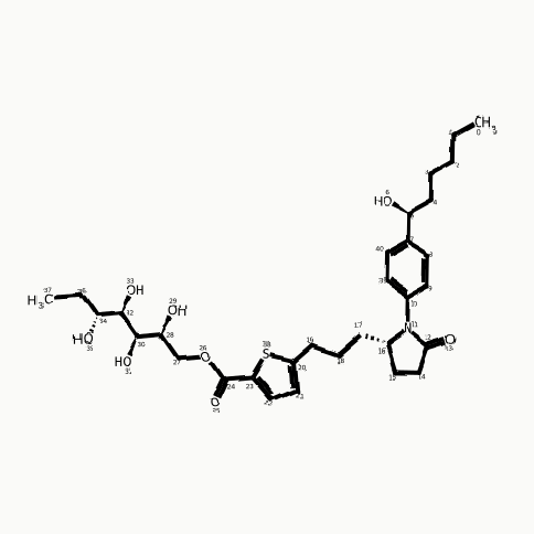 CCCCC[C@H](O)c1ccc(N2C(=O)CC[C@@H]2CCCc2ccc(C(=O)OC[C@H](O)[C@@H](O)[C@H](O)[C@H](O)CC)s2)cc1